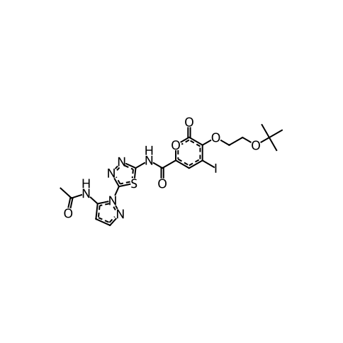 CC(=O)Nc1ccnn1-c1nnc(NC(=O)c2cc(I)c(OCCOC(C)(C)C)c(=O)o2)s1